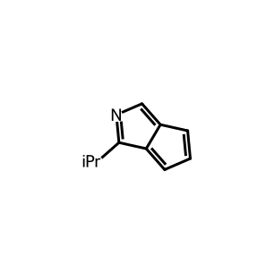 CC(C)C1=NC=C2C=CC=C21